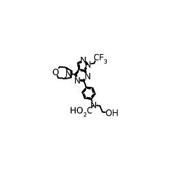 O=C(O)N(CCO)c1ccc(-c2nc(N3C4CCC3COC4)c3cnn(CC(F)(F)F)c3n2)cc1